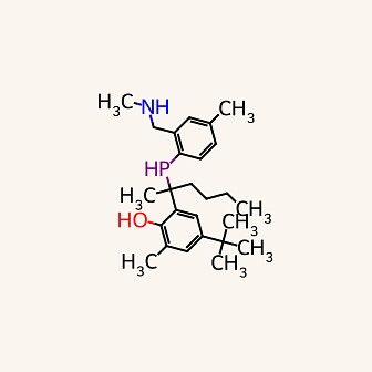 CCCCC(C)(Pc1ccc(C)cc1CNC)c1cc(C(C)(C)C)cc(C)c1O